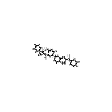 O=S(=O)(Nc1cc(-c2ccc3ncc(Nc4ccccc4)nc3c2)cnc1Cl)c1ccccc1